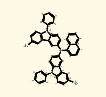 CC(C)(C)c1ccc2c(c1)c1cc(N(c3ccc4c(c3)c3cc(C(C)(C)C)ccc3n4-c3ccccc3)c3cccc4ccccc34)ccc1n2-c1ccccc1